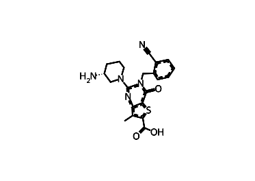 Cc1c(C(=O)O)sc2c(=O)n(Cc3ccccc3C#N)c(N3CCC[C@@H](N)C3)nc12